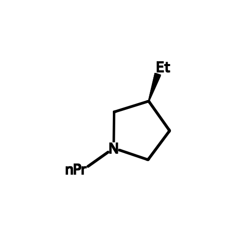 CCCN1CC[C@H](CC)C1